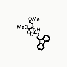 COCC[C@H](NC(=O)OCC1c2ccccc2-c2ccccc21)C(=O)OC